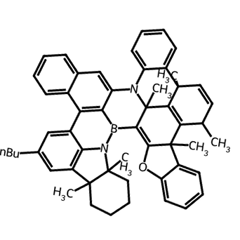 CCCCc1cc2c3c(c1)C1(C)CCCCC1(C)N3B1C3=C4Oc5ccccc5C4(C)C4=C5C(C)(C=CC4C)c4ccccc4N(c4cc6ccccc6c-2c41)C35C